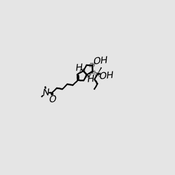 CCC[C@@](C)(O)[C@@H]1[C@H]2CC(CCCCC(=O)N(C)C)=C[C@H]2C[C@H]1O